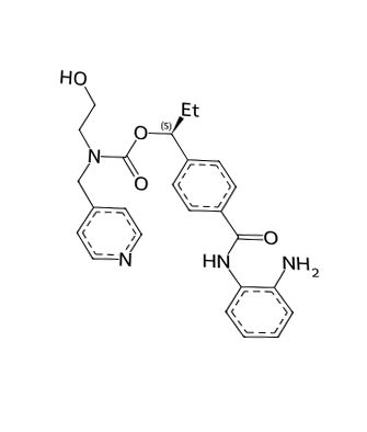 CC[C@H](OC(=O)N(CCO)Cc1ccncc1)c1ccc(C(=O)Nc2ccccc2N)cc1